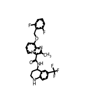 Cc1nc2c(OCc3c(F)cccc3F)cccn2c1C(=O)NC1CCNc2ccc(C(F)(F)F)cc21